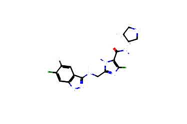 C[C@@H]1CNC[C@@H]1N(C)C(=O)c1c(Cl)nc(CNc2n[nH]c3cc(Cl)c(C(C)(C)C)cc23)n1C